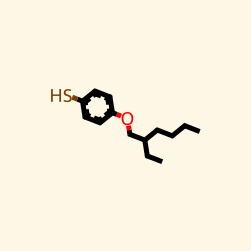 CCCCC(CC)COc1ccc(S)cc1